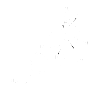 COc1ccc2c(c1)C[C@@H](C)[C@@H]1[C@@H]2CC[C@]2(C)[C@](F)(CO)C[C@H]3C[C@@]312